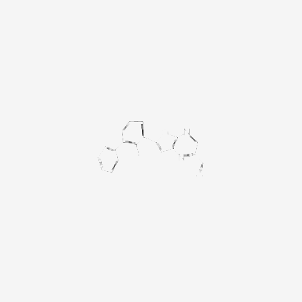 Cc1c(-c2ccccc2)cccc1-c1cc2nc(C=O)cnc2o1